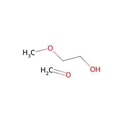 C=O.COCCO